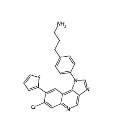 NCCCc1ccc(-n2cnc3cnc4cc(Cl)c(-c5cccs5)cc4c32)cc1